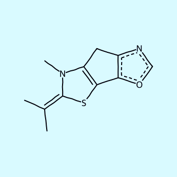 CC(C)=C1SC2=C(Cc3ncoc32)N1C